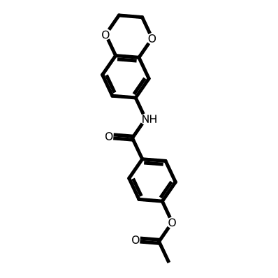 CC(=O)Oc1ccc(C(=O)Nc2ccc3c(c2)OCCO3)cc1